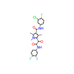 Cc1c(C(=O)Nc2ccc(F)c(Cl)c2)c(C)n(C)c1C(=O)C(=O)Nc1ccc(F)c(F)c1